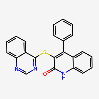 O=c1[nH]c2ccccc2c(-c2ccccc2)c1Sc1ncnc2ccccc12